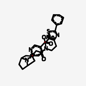 COC(=O)c1ccc(N2C3CCC2CN(CC(=O)N2CCc4nc(-c5ccccc5)sc4C2)C3)nc1